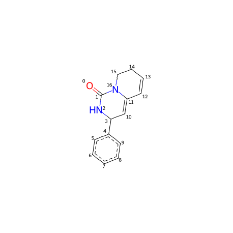 O=C1NC(c2ccccc2)C=C2C=CCCN12